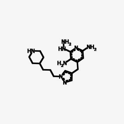 NNc1nc(N)cc(Cc2cnn(CCCC3CCNCC3)c2)c1N